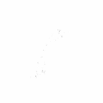 CC(C(=O)O)n1ccc2cc(OCCCOc3ccc(-c4nc5c(s4)CCCC5)cc3)ccc21